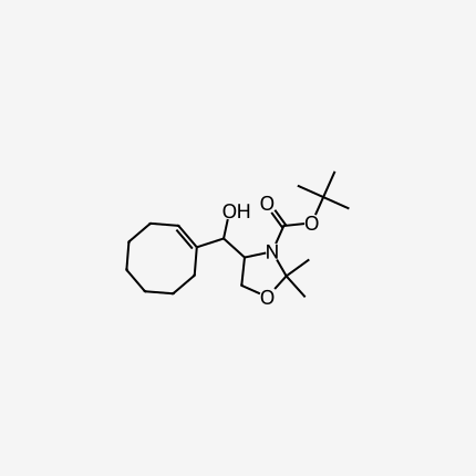 CC(C)(C)OC(=O)N1C(C(O)/C2=C/CCCCCC2)COC1(C)C